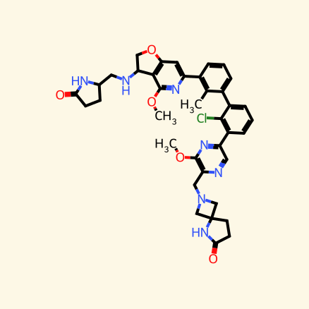 COc1nc(-c2cccc(-c3cccc(-c4cc5c(c(OC)n4)C(NCC4CCC(=O)N4)CO5)c3C)c2Cl)cnc1CN1CC2(CCC(=O)N2)C1